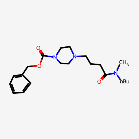 CCCCN(C)C(=O)CCCN1CCN(C(=O)OCc2ccccc2)CC1